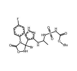 CC(Nc1n[nH]cc1C1(Br)NOC(=O)N1c1ccc(F)cc1)NS(=O)(=O)NC(=O)OC(C)(C)C